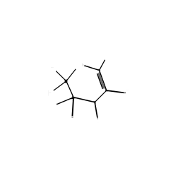 FC1=C(F)C(F)C(F)(F)C(F)(F)O1